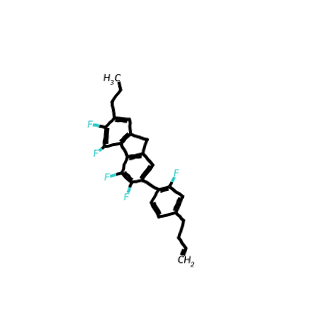 C=CCCc1ccc(-c2cc3c(c(F)c2F)-c2c(cc(CCC)c(F)c2F)C3)c(F)c1